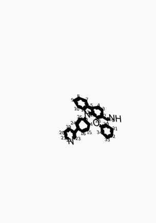 N=Cc1ccc2c3ccccc3n(C3=CC=CC(c4cccnc4)=C=C3)c2c1Oc1ccccc1